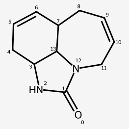 O=C1NC2CC=CC3CC=CCN1C32